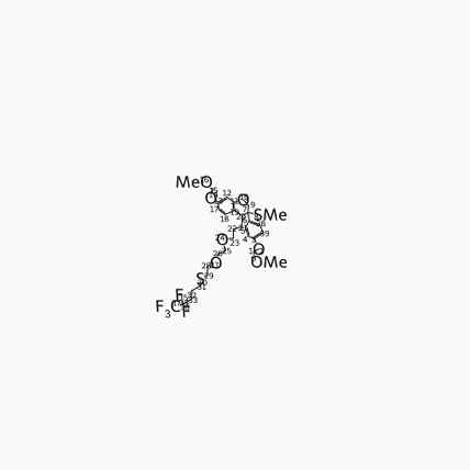 COCOc1ccc(C2(SC)COc3cc(OCOC)ccc3C2CCCOCCOCCSCCCC(F)(F)C(F)(F)F)cc1